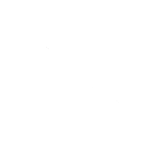 NCCNS(=O)(=O)c1cc(-c2c[nH]c3cc(F)ccc23)ccc1F